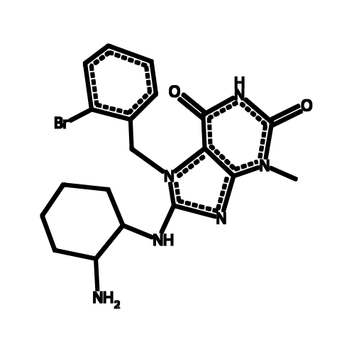 Cn1c(=O)[nH]c(=O)c2c1nc(NC1CCCCC1N)n2Cc1ccccc1Br